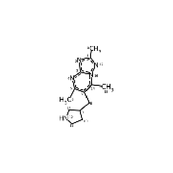 Cc1nc2nc(C)c(CC3CCNC3)c(C)n2n1